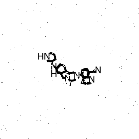 C[C@@H]1CN(c2ccc(C#N)c3ncccc23)CC2=C3CC=C(N[C@@H]4CCCNC4)C=C3CN21